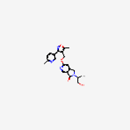 CCCC(CO)N1Cc2cc(OCc3c(-c4ccc(C)nc4)noc3C)ncc2C1=O